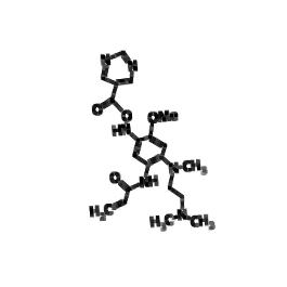 C=CC(=O)Nc1cc(NOC(=O)c2cncnc2)c(OC)cc1N(C)CCN(C)C